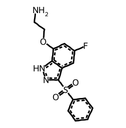 NCCOc1cc(F)cc2c(S(=O)(=O)c3ccccc3)n[nH]c12